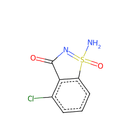 NS1(=O)=NC(=O)c2c(Cl)cccc21